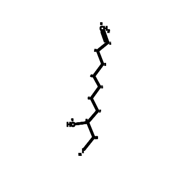 C=CCCCCCCC(O)CI